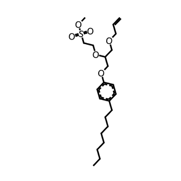 C=CCOCC(COc1ccc(CCCCCCCC)cc1)OCCS(=O)(=O)OC